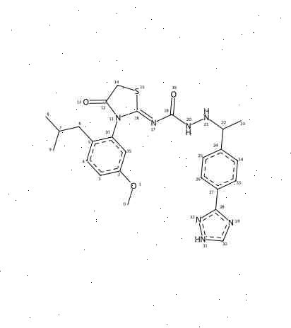 COc1ccc(CC(C)C)c(N2C(=O)CS/C2=N\C(=O)NNC(C)c2ccc(-c3nc[nH]n3)cc2)c1